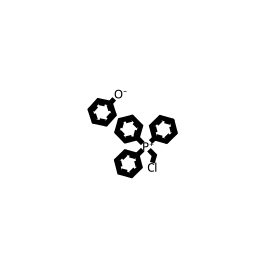 ClC[P+](c1ccccc1)(c1ccccc1)c1ccccc1.[O-]c1ccccc1